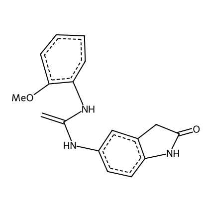 C=C(Nc1ccc2c(c1)CC(=O)N2)Nc1ccccc1OC